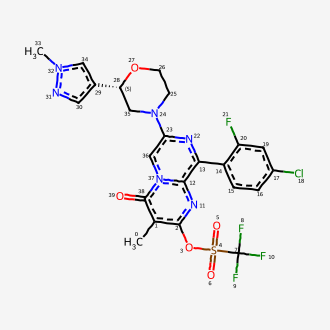 Cc1c(OS(=O)(=O)C(F)(F)F)nc2c(-c3ccc(Cl)cc3F)nc(N3CCO[C@@H](c4cnn(C)c4)C3)cn2c1=O